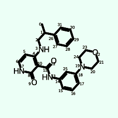 CC(CNc1cc[nH]c(=O)c1C(=O)Nc1cccc(N2CCOCC2)c1)c1ccccc1